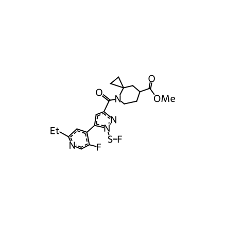 CCc1cc(-c2cc(C(=O)N3CCC(C(=O)OC)CC34CC4)nn2SF)c(F)cn1